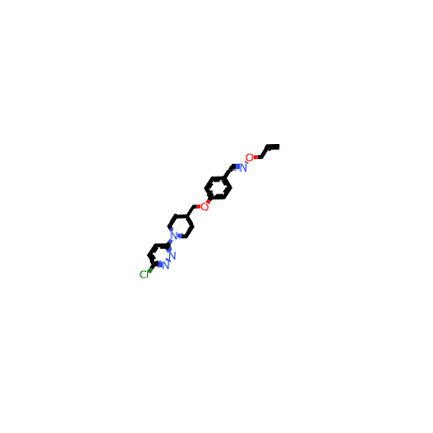 C=CCON=Cc1ccc(OCC2CCN(c3ccc(Cl)nn3)CC2)cc1